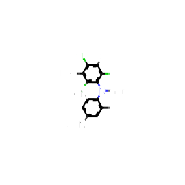 CCCN(c1c([N+](=O)[O-])cc([N+](=O)[O-])cc1C(F)(F)F)c1c(Cl)c(C(F)(F)F)c(Cl)c(C(F)(F)F)c1Cl